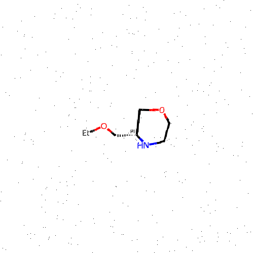 CCOC[C@@H]1COCCN1